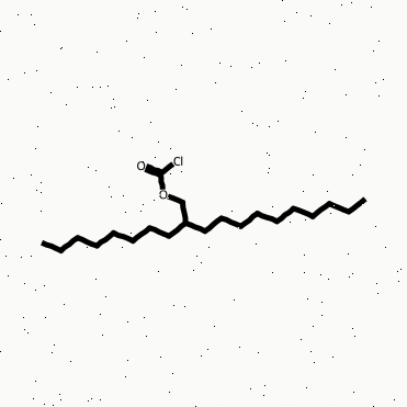 CCCCCCCCCCC(CCCCCCCC)COC(=O)Cl